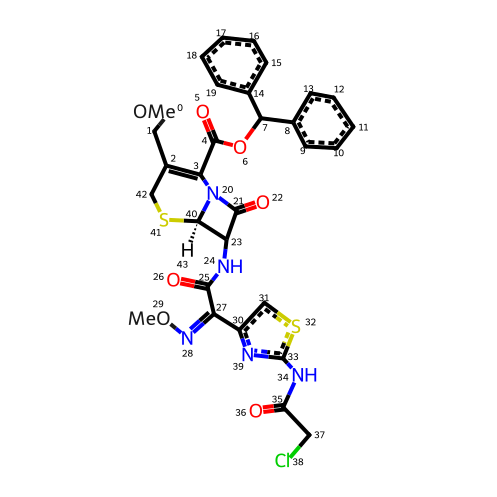 COCC1=C(C(=O)OC(c2ccccc2)c2ccccc2)N2C(=O)C(NC(=O)/C(=N\OC)c3csc(NC(=O)CCl)n3)[C@H]2SC1